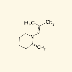 C=C1CCCCN1C=C(C)C